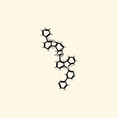 c1ccc(-c2cccc(-n3c4ccccc4c4c(-c5nc6ccc7oc8c(-c9ccccc9)cccc8c7c6s5)cccc43)c2)cc1